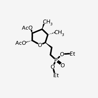 CCOP(=O)(CC[C@H]1O[C@H](OC(C)=O)[C@@H](OC(C)=O)[C@@H](C)[C@@H]1C)OCC